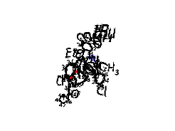 CCOc1cc(Cl)c(S(=O)(=O)NC(C)(C)C)cc1/C(=N/C(C)(C)C1C=CC(Cl)=CC1)N(Cc1ccc(Cl)cc1)C(=O)N1CCN(CC(=O)N2CCCC2)CC1